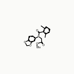 Cc1cccc(C)c1C(=O)N(CC(=O)OC(C)(C)C)c1ccc2c(c1)OCO2